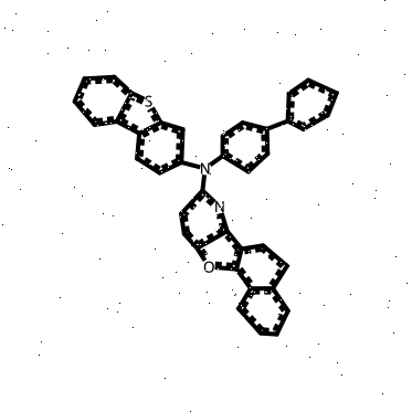 c1ccc(-c2ccc(N(c3ccc4c(c3)sc3ccccc34)c3ccc4oc5c6ccccc6ccc5c4n3)cc2)cc1